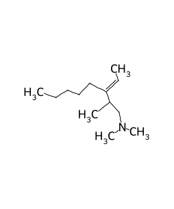 C/C=C(\CCCCC)C(C)CN(C)C